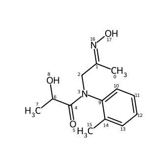 CC(CN(C(=O)C(C)O)c1ccccc1C)=NO